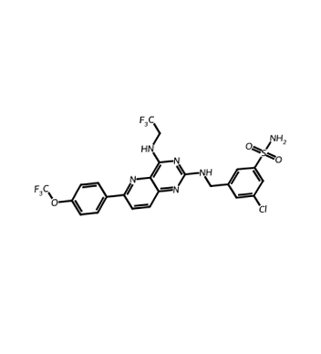 NS(=O)(=O)c1cc(Cl)cc(CNc2nc(NCC(F)(F)F)c3nc(-c4ccc(OC(F)(F)F)cc4)ccc3n2)c1